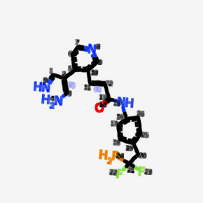 N=C/C(=C\N)c1ccncc1/C=C/C(=O)Nc1ccc(CC(F)(F)P)cc1